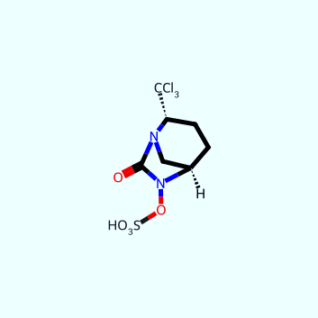 O=C1N2C[C@@H](CC[C@H]2C(Cl)(Cl)Cl)N1OS(=O)(=O)O